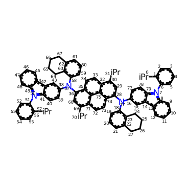 CC(C)c1ccccc1-n1c2ccccc2c2cc(N(c3cccc4c3CCCC4)c3cc(C(C)C)c4ccc5c(N(c6ccc7c(c6)c6ccccc6n7-c6ccccc6C(C)C)c6cccc7c6CCCC7)cc(C(C)C)c6ccc3c4c65)ccc21